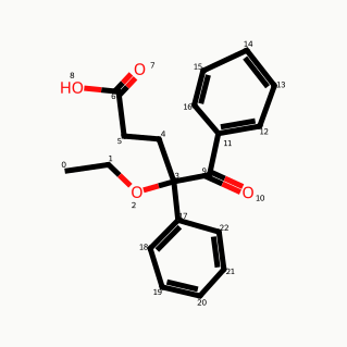 CCOC(CCC(=O)O)(C(=O)c1ccccc1)c1ccccc1